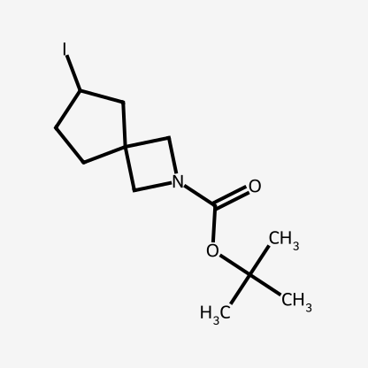 CC(C)(C)OC(=O)N1CC2(CCC(I)C2)C1